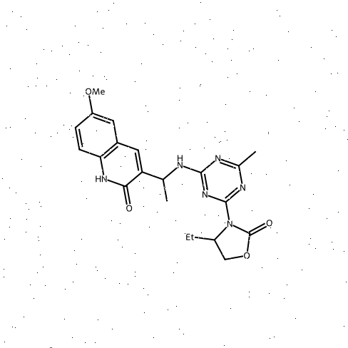 CCC1COC(=O)N1c1nc(C)nc(NC(C)c2cc3cc(OC)ccc3[nH]c2=O)n1